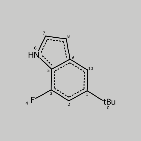 CC(C)(C)c1cc(F)c2[nH]ccc2c1